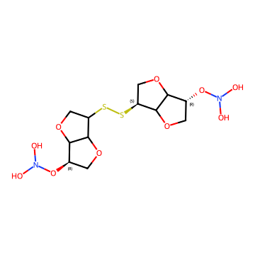 ON(O)O[C@@H]1COC2C(SS[C@H]3COC4C3OC[C@H]4ON(O)O)COC21